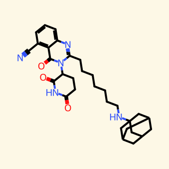 N#Cc1cccc2nc(CCCCCCCNC34CC5CC(CC(C5)C3)C4)n(C3CCC(=O)NC3=O)c(=O)c12